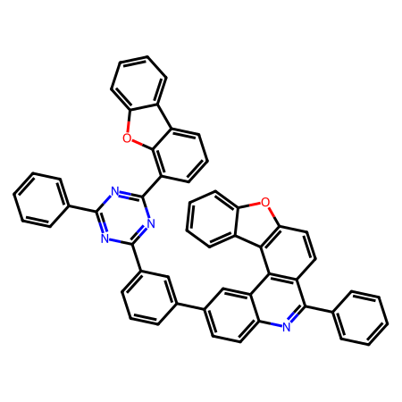 c1ccc(-c2nc(-c3cccc(-c4ccc5nc(-c6ccccc6)c6ccc7oc8ccccc8c7c6c5c4)c3)nc(-c3cccc4c3oc3ccccc34)n2)cc1